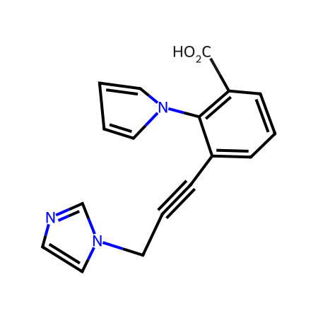 O=C(O)c1cccc(C#CCn2ccnc2)c1-n1cccc1